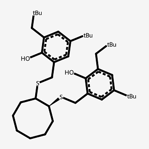 CC(C)(C)Cc1cc(C(C)(C)C)cc(CSC2CCCCCC[C@@H]2SCc2cc(C(C)(C)C)cc(CC(C)(C)C)c2O)c1O